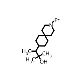 CC(C)N1CCC2(CCC(C(C)C(C)(C)O)CC2)CC1